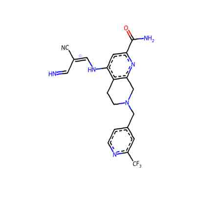 N#C/C(C=N)=C/Nc1cc(C(N)=O)nc2c1CCN(Cc1ccnc(C(F)(F)F)c1)C2